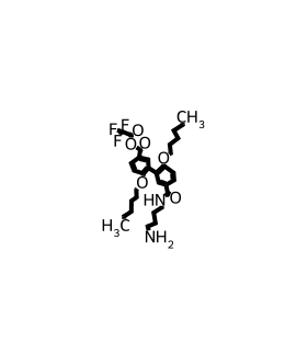 CCCCCCOc1ccc(C(=O)NCCCCN)cc1-c1cc(C(=O)OC(=O)C(F)(F)F)ccc1OCCCCCC